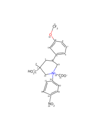 CC1(C(=O)O)CC(c2cccc(OC(F)(F)F)c2)C[N+](C(=O)[O-])(c2ccc([N+](=O)[O-])cc2)C1